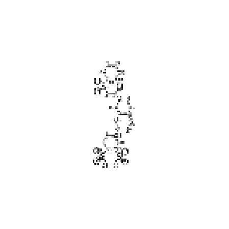 O=S1(=O)CC(c2ccc3c(c2)SC(c2ccc4c(c2)S(=O)(=O)CCS4(=O)=O)CS3)Oc2ccccc21